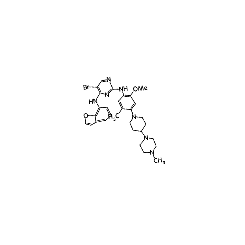 COc1cc(N2CCC(N3CCN(C)CC3)CC2)c(C)cc1Nc1ncc(Br)c(Nc2cccc3ccoc23)n1